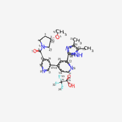 CO[C@H]1CCN(C(=O)c2cncc(-c3ccnc(-c4nc(C)c(C)[nH]4)c3)c2)C1.O=C(O)C(F)(F)F